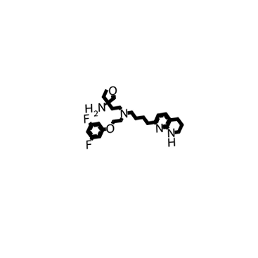 CC[C@](N)(C=O)CCN(CCCCc1ccc2c(n1)NCCC2)CCOc1cc(F)cc(F)c1